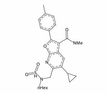 CC[CH]CCCN(Cc1nc2oc(-c3ccc(C)cc3)c(C(=O)NC)c2cc1C1CC1)[SH](=O)=O